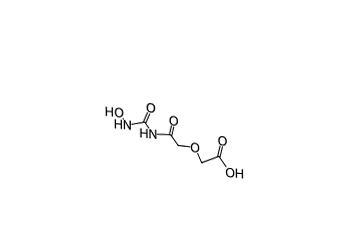 O=C(O)COCC(=O)NC(=O)NO